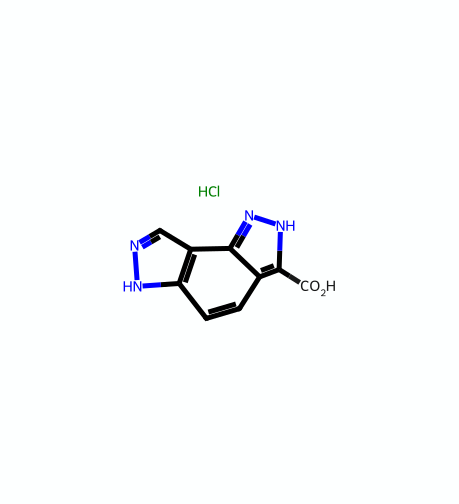 Cl.O=C(O)c1[nH]nc2c1ccc1[nH]ncc12